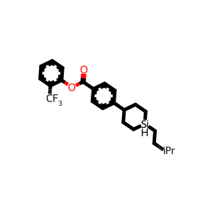 CC(C)CC[SiH]1CCC(c2ccc(C(=O)Oc3ccccc3C(F)(F)F)cc2)CC1